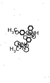 CCC(NC(=O)c1ccc(S(=O)(=O)Nc2ccccc2Oc2ccc(OC)cc2Cl)cc1)(N1CCCCC1)N1CCCCC1